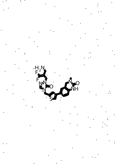 CN1Cc2cc(-c3csc(Cn4cnn(CC(CN)=C(F)F)c4=O)c3)ccc2NC1=O